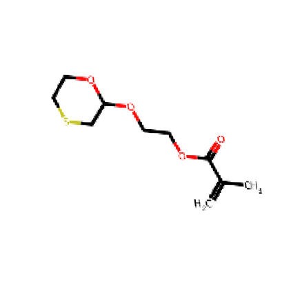 C=C(C)C(=O)OCCOC1CSCCO1